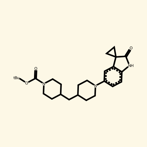 CC(C)(C)OC(=O)N1CCC(CC2CCN(c3ccc4c(c3)C3(CC3)C(=O)N4)CC2)CC1